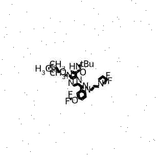 CC(C)(C)NC(=O)c1cn(COCC[Si](C)(C)C)c2ncc(-c3nn(CCCN4CCC(F)(F)C4)c4ccc(OC(F)F)cc34)nc12